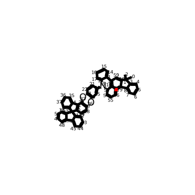 CC1(C)c2ccccc2-c2ccc(-c3ccccc3N(c3ccc4c(c3)Oc3ccc5c(c3O4)-c3ccccc3C53c4ccccc4-c4ccccc43)[C@@H]3C=CC=CC3)cc21